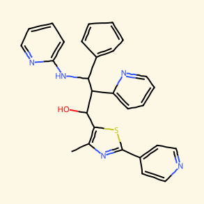 Cc1nc(-c2ccncc2)sc1C(O)C(c1ccccn1)C(Nc1ccccn1)c1ccccc1